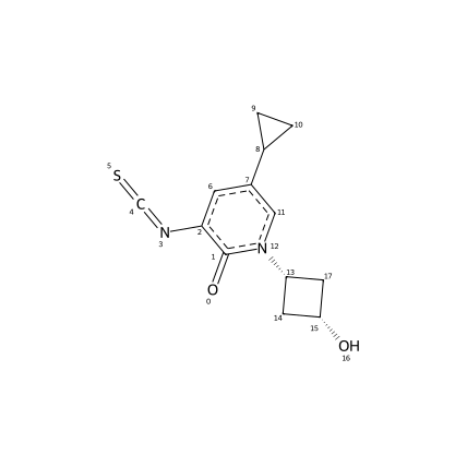 O=c1c(N=C=S)cc(C2CC2)cn1[C@H]1C[C@@H](O)C1